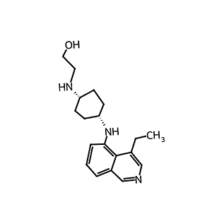 CCc1cncc2cccc(N[C@H]3CC[C@@H](NCCO)CC3)c12